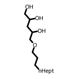 CCCCCCCCCCOCC(O)CC(O)CO